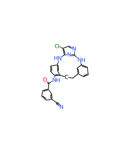 N#Cc1cccc(C(=O)Nc2ccc3cc2CCc2cccc(c2)Nc2ncc(Cl)c(n2)N3)c1